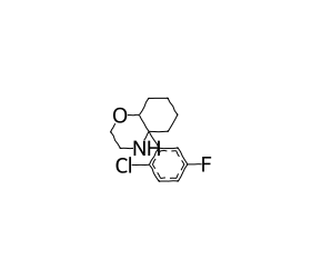 Fc1ccc(Cl)c(C23CCCCC2OCCN3)c1